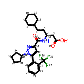 O=C(O)C[C@H](CCC1CCCCC1)NC(=O)c1cc(-c2ccccc2C(F)(F)F)n(C2CCCC2)n1